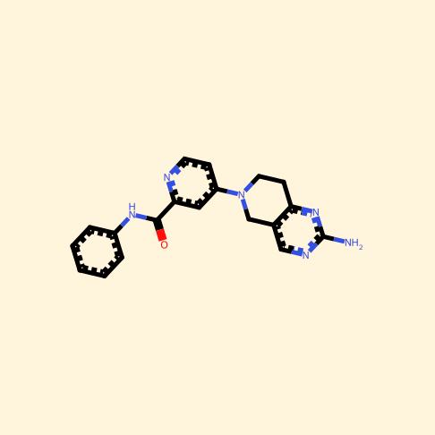 Nc1ncc2c(n1)CCN(c1ccnc(C(=O)Nc3ccccc3)c1)C2